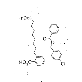 CCCCCCCCCCCCCCCCCCc1ccccc1C(=O)O.O=C(OCc1ccc(Cl)cc1)c1ccccc1